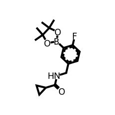 CC1(C)OB(c2cc(CNC(=O)C3CC3)ccc2F)OC1(C)C